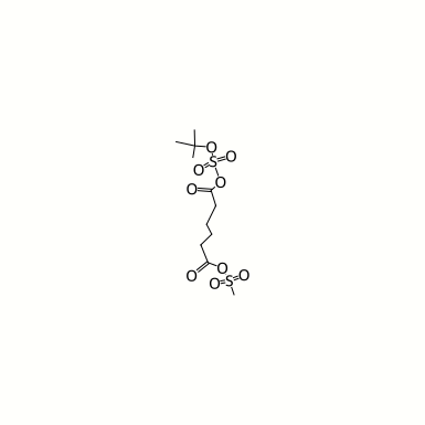 CC(C)(C)OS(=O)(=O)OC(=O)CCCCC(=O)OS(C)(=O)=O